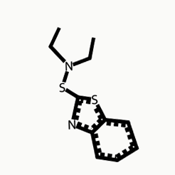 CCN(CC)Sc1nc2ccccc2s1